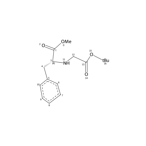 COC(=O)[C@@H](Cc1ccccc1)NCC(=O)OC(C)(C)C